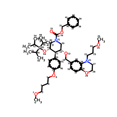 COCCCCOc1ccc([C@@H]2[C@@H](OCc3ccc4c(c3)N(CCCOC)CCO4)CN(C(=O)OCc3ccccc3)C[C@H]2O[Si](C(C)C)(C(C)C)C(C)C)cc1